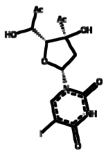 CC(=O)C(O)[C@H]1O[C@@H](n2cc(I)c(=O)[nH]c2=O)C[C@@]1(O)C(C)=O